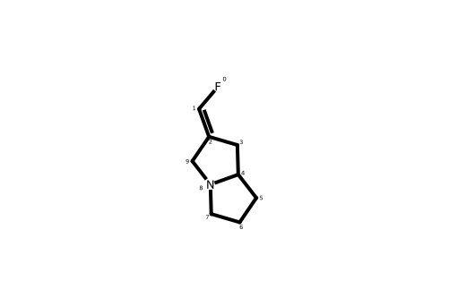 FC=C1CC2CCCN2C1